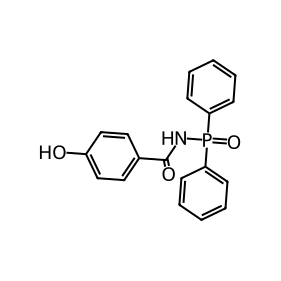 O=C(NP(=O)(c1ccccc1)c1ccccc1)c1ccc(O)cc1